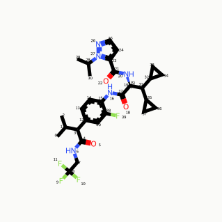 CC(C)C(C(=O)NCC(F)(F)F)c1ccc(NC(=O)[C@@H](NC(=O)c2ccnn2C(C)C)C(C2CC2)C2CC2)c(F)c1